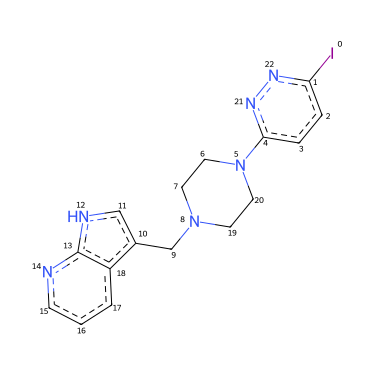 Ic1ccc(N2CCN(Cc3c[nH]c4ncccc34)CC2)nn1